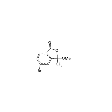 COC1(C(F)(F)F)OC(=O)c2ccc(Br)cc21